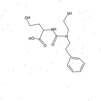 O=C(O)C(CCO)NC(=O)N(CCS)CCc1ccccc1